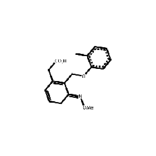 CO/N=C1\CC=CC(CC(=O)O)=C1COc1ccccc1C